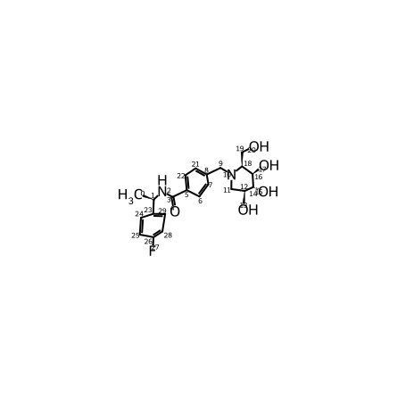 C[C@@H](NC(=O)c1ccc(CN2C[C@H](O)[C@@H](O)[C@H](O)[C@@H]2CO)cc1)c1ccc(F)cc1